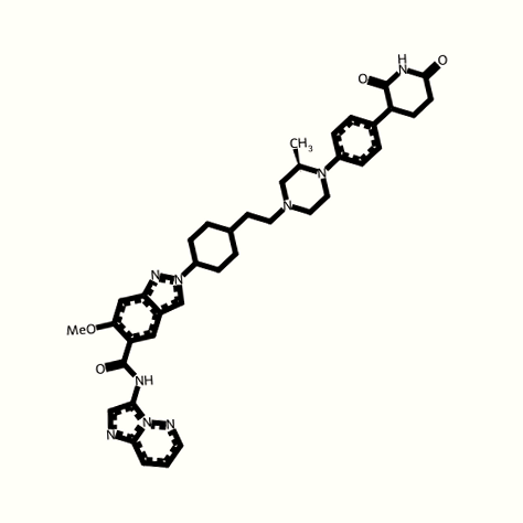 COc1cc2nn(C3CCC(CCN4CCN(c5ccc(C6CCC(=O)NC6=O)cc5)[C@H](C)C4)CC3)cc2cc1C(=O)Nc1cnc2cccnn12